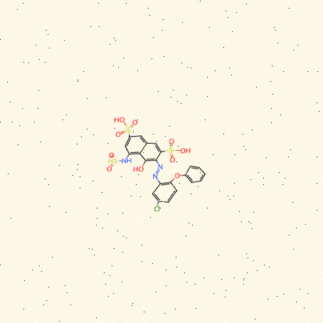 O=[SH](=O)Nc1cc(S(=O)(=O)O)cc2cc(S(=O)(=O)O)c(N=Nc3cc(Cl)ccc3Oc3ccccc3)c(O)c12